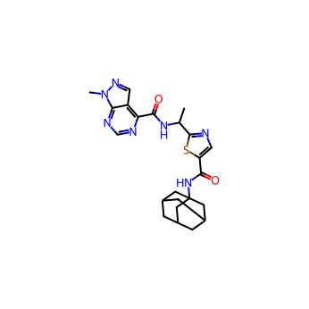 CC(NC(=O)c1ncnc2c1cnn2C)c1ncc(C(=O)NC23CC4CC(CC(C4)C2)C3)s1